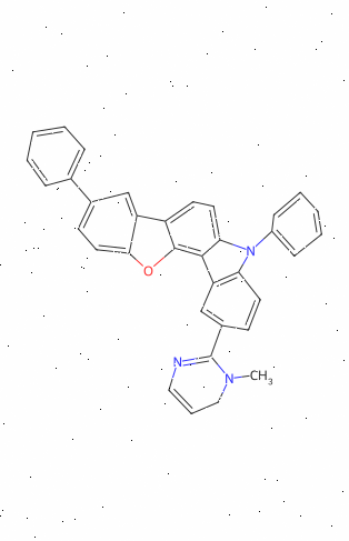 CN1CC=CN=C1c1ccc2c(c1)c1c3oc4ccc(-c5ccccc5)cc4c3ccc1n2-c1ccccc1